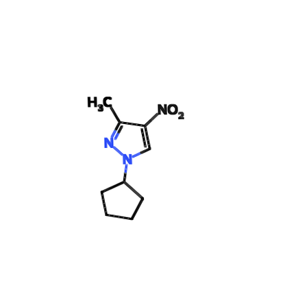 Cc1nn(C2CCCC2)cc1[N+](=O)[O-]